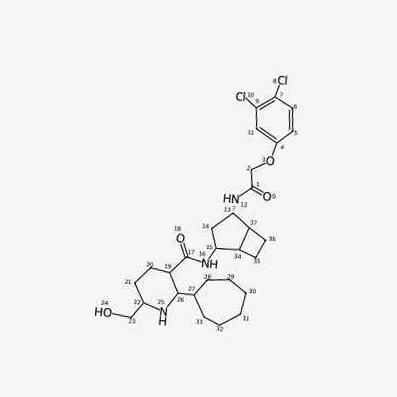 O=C(COc1ccc(Cl)c(Cl)c1)N[C@H]1CC(NC(=O)C2CCC(CO)NC2C2CCCCCC2)C2CCC21